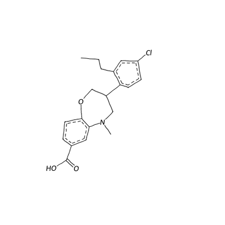 CCCc1cc(Cl)ccc1C1COc2ccc(C(=O)O)cc2N(C)C1